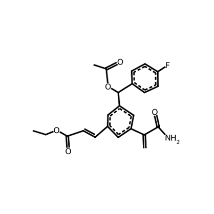 C=C(C(N)=O)c1cc(C=CC(=O)OCC)cc(C(OC(C)=O)c2ccc(F)cc2)c1